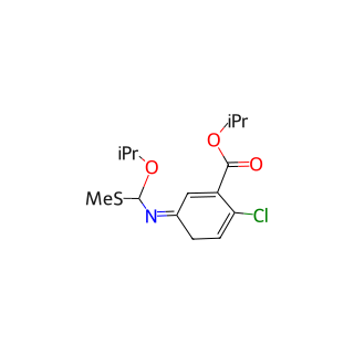 CSC(N=C1C=C(C(=O)OC(C)C)C(Cl)=CC1)OC(C)C